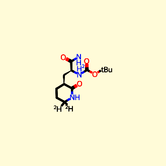 [2H]C1([2H])CC[C@@H](C[C@H](NC(=O)OC(C)(C)C)C(N)=O)C(=O)N1